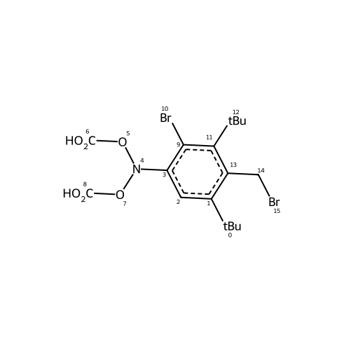 CC(C)(C)c1cc(N(OC(=O)O)OC(=O)O)c(Br)c(C(C)(C)C)c1CBr